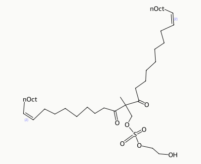 CCCCCCCC/C=C\CCCCCCCC(=O)C(C)(COS(=O)(=O)OCCO)C(=O)CCCCCCC/C=C\CCCCCCCC